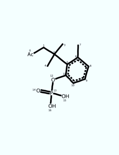 CC(=O)CC(C)(C)c1c(C)cccc1OP(=O)(O)O